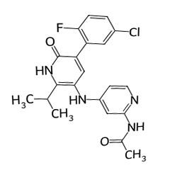 CC(=O)Nc1cc(Nc2cc(-c3cc(Cl)ccc3F)c(=O)[nH]c2C(C)C)ccn1